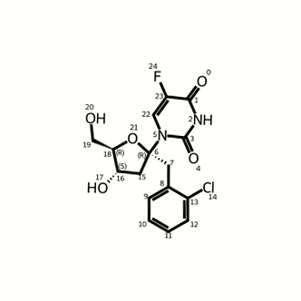 O=c1[nH]c(=O)n([C@@]2(Cc3ccccc3Cl)C[C@H](O)[C@@H](CO)O2)cc1F